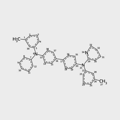 Cc1cccc(N(c2ccccc2)c2ccc(-c3ccc(N(c4cccc(C)c4)c4ccccn4)cc3)cc2)c1